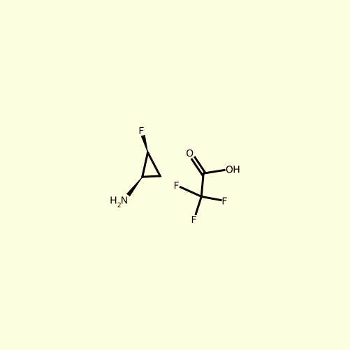 N[C@@H]1C[C@@H]1F.O=C(O)C(F)(F)F